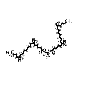 [CH2]C(COC(=O)CCCCC1(CCCCCCCC2(CCCC)N=N2)N=N1)OC(=O)CCCCC1(CCCCCCCC2(CCCC)N=N2)N=N1